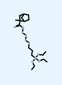 CCO[Si](CCCSSSSOC(=O)C1(C)CC2CCC1C2)(OCC)OCC